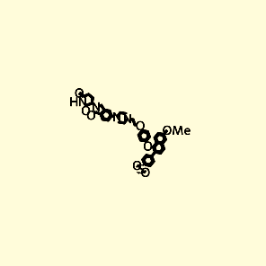 COc1ccc2c(Oc3ccc(OCCN4CCN(c5ccc6c(c5)CN(C5CCC(=O)NC5=O)C6=O)CC4)cc3)c(-c3ccc(S(C)(=O)=O)cc3)ccc2c1